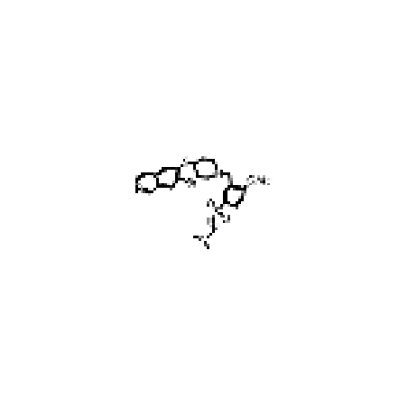 COc1ccc(S(=O)(=O)/N=C/N(C)C)cc1CN1CCC(Sc2cc3ccncc3cc2Br)CC1